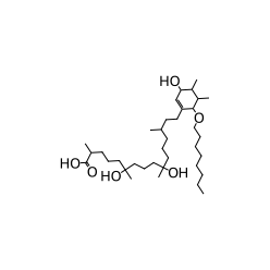 CCCCCCCCOC1C(CCC(C)CCCC(C)(O)CCCC(C)(O)CCCC(C)C(=O)O)=CC(O)C(C)C1C